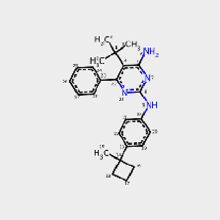 CC(C)(C)c1c(N)nc(Nc2ccc(C3(C)CCC3)cc2)nc1-c1ccccc1